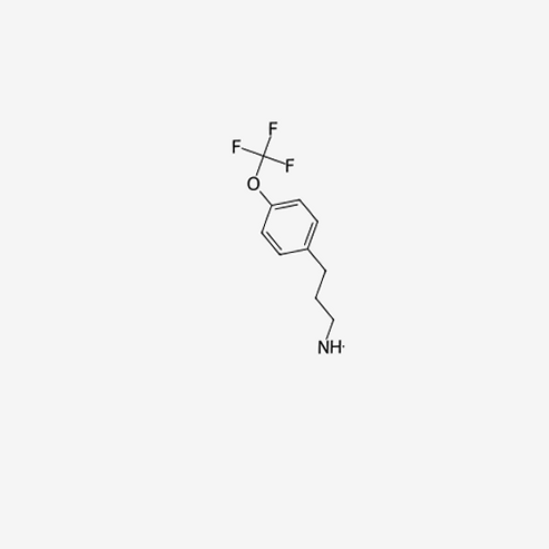 [NH]CCCc1ccc(OC(F)(F)F)cc1